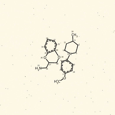 COc1ccc(N2CCC(C)CC2)cc1.NCC1COc2ccccc2O1